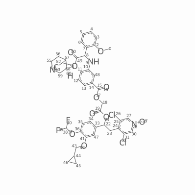 COc1ccccc1C(Nc1cccc(C(=O)OCC(=O)OC(Cc2c(Cl)c[n+]([O-])cc2Cl)c2ccc(OC(F)F)c(OCC3CC3)c2)c1)C(=O)O[C@H]1CN2CCC1CC2